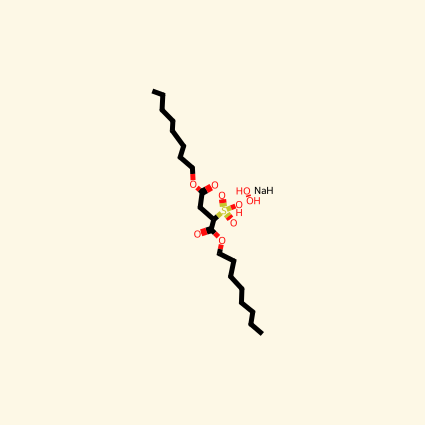 CCCCCCCCOC(=O)CC(C(=O)OCCCCCCCC)S(=O)(=O)O.OO.[NaH]